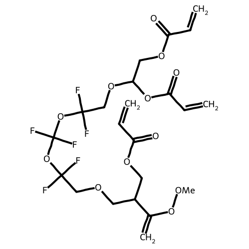 C=CC(=O)OCC(OCC(F)(F)OC(F)(F)OC(F)(F)COCC(COC(=O)C=C)C(=C)OOC)OC(=O)C=C